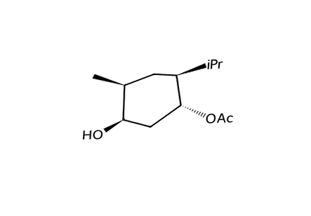 CC(=O)O[C@@H]1C[C@@H](O)[C@@H](C)C[C@H]1C(C)C